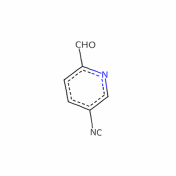 [C-]#[N+]c1ccc(C=O)nc1